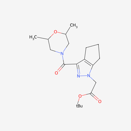 CC1CN(C(=O)c2nn(CC(=O)OC(C)(C)C)c3c2CCC3)CC(C)O1